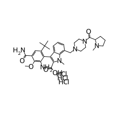 COc1c(C(N)=O)cc(C(C)(C)C)c(-c2c(C(=O)O)n(C)c3c(CN4CCN(C(=O)C5CCCN5C)CC4)cccc23)c1N.Cl.Cl.Cl